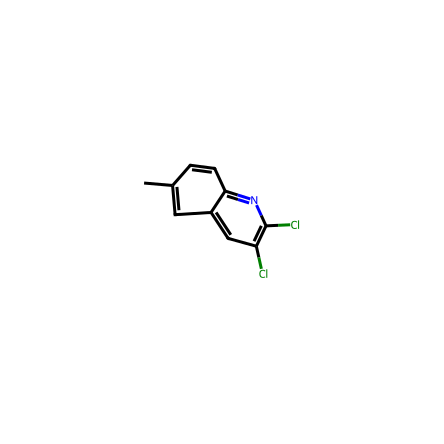 Cc1ccc2nc(Cl)c(Cl)cc2c1